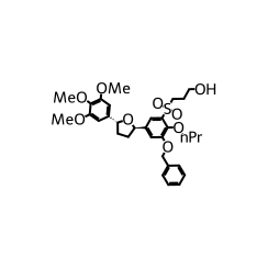 CCCOc1c(OCc2ccccc2)cc([C@H]2CC[C@H](c3cc(OC)c(OC)c(OC)c3)O2)cc1S(=O)(=O)CCCO